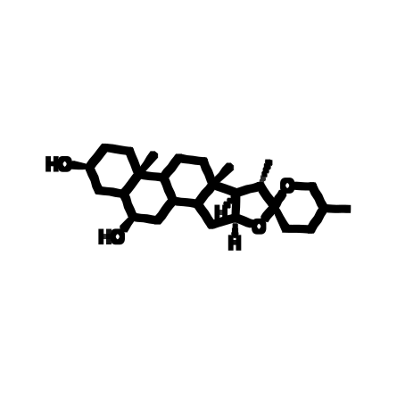 CC1CC[C@@]2(OC1)O[C@H]1CC3C4C[C@@H](O)C5C[C@@H](O)CC[C@]5(C)C4CC[C@]3(C)[C@H]1[C@@H]2C